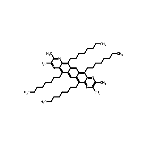 CCCCCCCCc1c2cc3c(CCCCCCCC)c4nc(C)c(C)nc4c(CCCCCCCC)c3cc2c(CCCCCCCC)c2nc(C)c(C)nc12